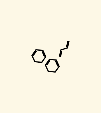 C1=CCCC=C1.C1=CCCC=C1.C=CC=C